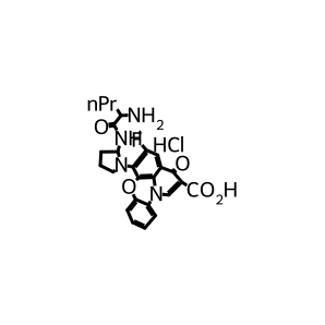 CCCC(N)C(=O)NC1CCCN1c1c(F)cc2c(=O)c(C(=O)O)cn3c2c1Oc1ccccc1-3.Cl